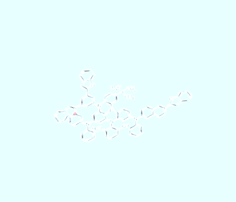 Cc1cccc(C)c1N1c2cc(N(c3ccccc3)c3ccc4cc(-c5cc6ccccc6o5)ccc4c3)ccc2B2c3cc(C(C)(C)C)ccc3N(c3cc(-c4cc5ccccc5o4)cc(-c4cc5ccccc5o4)c3)c3cc(N(c4ccccc4)c4ccccc4)cc1c32